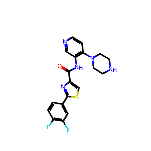 O=C(Nc1cnccc1N1CCNCC1)c1csc(-c2ccc(F)c(F)c2)n1